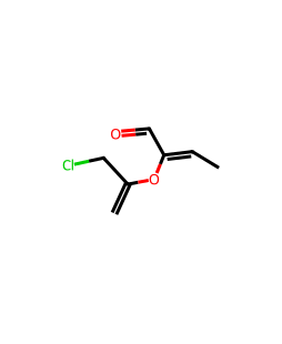 C=C(CCl)O/C(C=O)=C\C